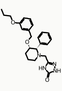 CCCOc1cccc(CO[C@H]2CCCN(Cc3n[nH]c(=O)[nH]3)[C@H]2c2ccccc2)c1